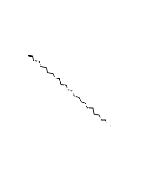 C=CCCCCCCCCCCCCCCCCCCCCCCO